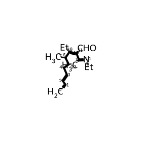 C=CC=CCC[C@@H](C)/C(CC)=C(C=O)\C(C)=N\CC